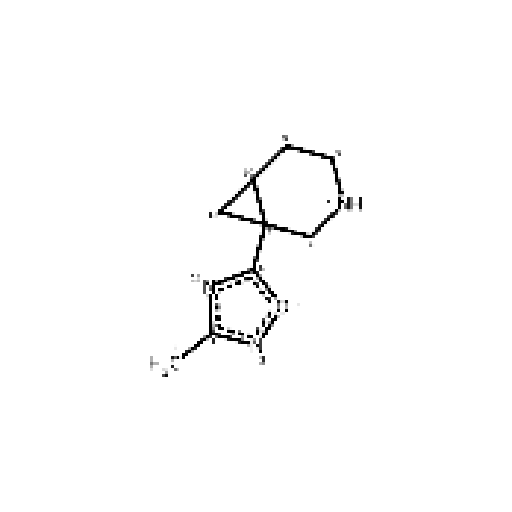 Cc1noc(C23CNCCC2C3)n1